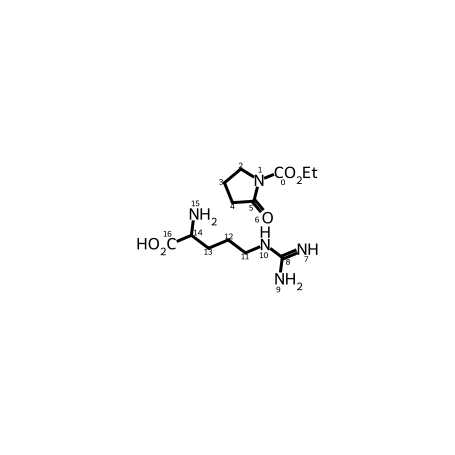 CCOC(=O)N1CCCC1=O.N=C(N)NCCCC(N)C(=O)O